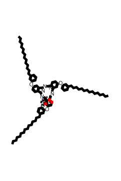 CCCCCCCCCCCCCCCc1cccc(Oc2ccc3c(c2)-c2nc-3nc3c4cc(Oc5cccc(CCCCCCCCCCCCCCC)c5)ccc4c(nc4c5cc(Oc6cccc(CCCCCCCCCCCCCCC)c6)ccc5c(n2)n4C)n3B(C)OS(C)(=O)=O)c1